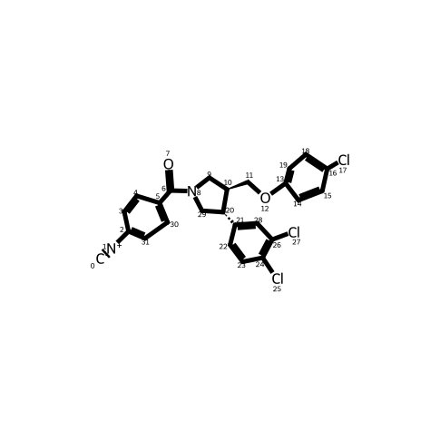 [C-]#[N+]c1ccc(C(=O)N2C[C@@H](COc3ccc(Cl)cc3)[C@H](c3ccc(Cl)c(Cl)c3)C2)cc1